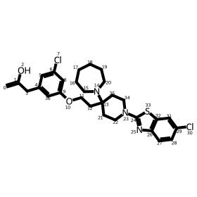 C=C(O)Cc1cc(Cl)cc(OCCC2(N3CCCCCC3)CCN(c3nc4ccc(Cl)cc4s3)CC2)c1